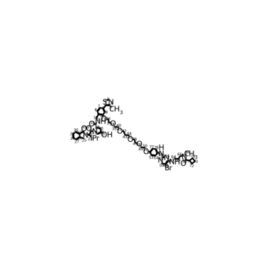 Cc1ncsc1-c1ccc(CNC(=O)[C@@H]2C[C@@H](O)CN2C(=O)C(C(C)C)N2Cc3ccccc3C2=O)c(OCCOCCOCCCOCCOCCOc2ccc(Nc3ncc(Br)c(NCCCN(C)C(=O)C4CCC4)n3)cc2)c1